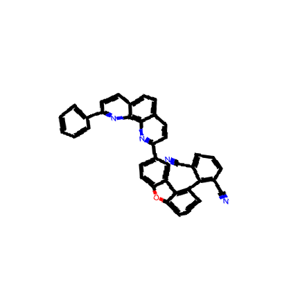 N#Cc1cccc(C#N)c1-c1cccc2oc3ccc(-c4ccc5ccc6ccc(-c7ccccc7)nc6c5n4)cc3c12